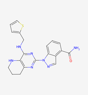 NC(=O)c1cccc2c1cnn2-c1nc2c(c(NCc3cccs3)n1)NCCC2